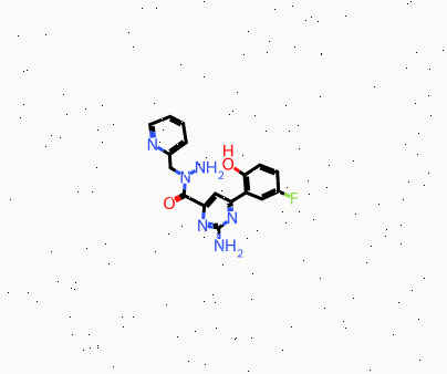 Nc1nc(C(=O)N(N)Cc2ccccn2)cc(-c2cc(F)ccc2O)n1